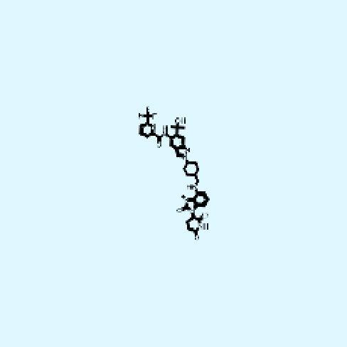 Cn1c(=O)n(C2CCC(=O)NC2=O)c2cccc(NCC3CCC(n4cc5cc(NC(=O)c6cccc(C(F)(F)F)n6)c(C(C)(C)O)cc5n4)CC3)c21